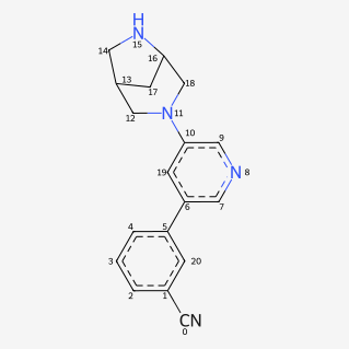 N#Cc1cccc(-c2cncc(N3CC4CNC(C4)C3)c2)c1